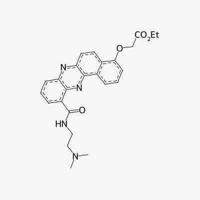 CCOC(=O)COc1cccc2c1ccc1nc3cccc(C(=O)NCCN(C)C)c3nc12